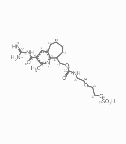 Cc1nc2c(cc1C(=O)NC(=N)N)CCCCC2COC(=O)NCCOCCOS(=O)(=O)O